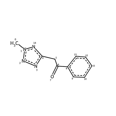 Cn1nnc(CC(=O)c2ccccc2)n1